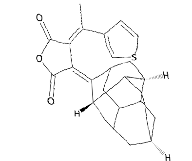 C/C(=C1\C(=O)OC(=O)\C1=C1\C2CC3C4C[C@H]5CC3[C@H]1C(C5)[C@H]4C2)c1ccsc1